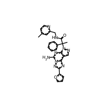 Cc1ccnc(CNC(=O)C(C)(c2ccccc2)n2ncc3c2nc(N)n2nc(-c4ccco4)nc32)c1